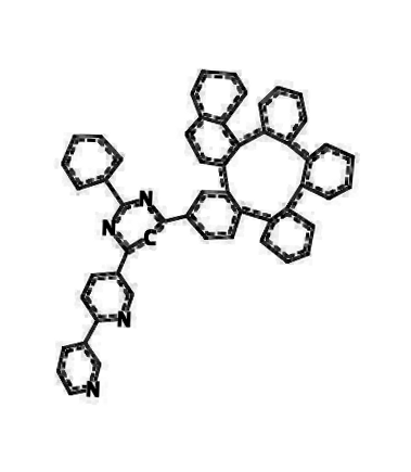 c1ccc(-c2nc(-c3ccc(-c4cccnc4)nc3)cc(-c3ccc4c5ccccc5c5ccccc5c5ccccc5c5c6ccccc6ccc5c4c3)n2)cc1